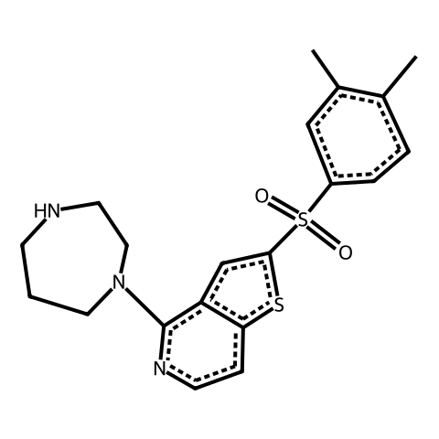 Cc1ccc(S(=O)(=O)c2cc3c(N4CCCNCC4)nccc3s2)cc1C